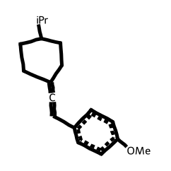 COc1ccc(C=C=C2CCC(C(C)C)CC2)cc1